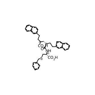 O=C(O)[C@@H](CCc1ccc2ccccc2c1)C[C@H](CCc1ccc2ccccc2c1)C(=O)N[C@@H](CSCc1ccccc1)C(=O)O